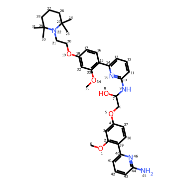 COc1cc(OCC(O)Nc2cccc(-c3ccc(OCCN4C(C)(C)CCCC4(C)C)cc3OC)n2)ccc1-c1cccc(N)n1